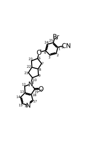 N#Cc1ccc(OC2CC3CC(N4Cc5ccncc5C4=O)CC3C2)cc1Br